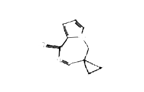 O=C1N=CC2(CC2)Cn2cccc21